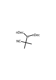 CCCCCCCCCCN(CCCCCCCCCC)C(C)(C)C#N